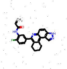 C=CC(=O)Nc1cc(-c2nc3ccc4[nH]ncc4c3c3c2CCCC3)ccc1F